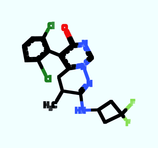 CC1Cc2c(-c3c(Cl)cccc3Cl)c(=O)ncn2N=C1NC1CC(F)(F)C1